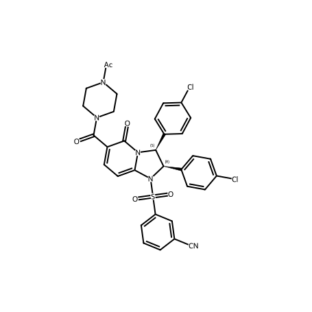 CC(=O)N1CCN(C(=O)c2ccc3n(c2=O)[C@@H](c2ccc(Cl)cc2)[C@@H](c2ccc(Cl)cc2)N3S(=O)(=O)c2cccc(C#N)c2)CC1